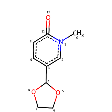 Cn1cc(C2OCCO2)ccc1=O